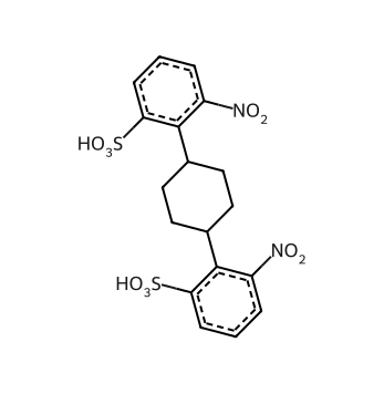 O=[N+]([O-])c1cccc(S(=O)(=O)O)c1C1CCC(c2c([N+](=O)[O-])cccc2S(=O)(=O)O)CC1